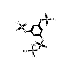 C[Si](C)(C)OS(=O)(=O)Oc1cc(OS(C)(=O)=O)cc(OS(C)(=O)=O)c1